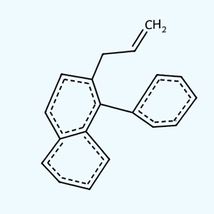 C=CCc1ccc2ccccc2c1-c1ccccc1